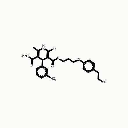 CCC1=C(C(=O)OCCCOc2ccc(CCO)cc2)C(c2cccc([N+](=O)[O-])c2)C(C(=O)OC)=C(C)N1